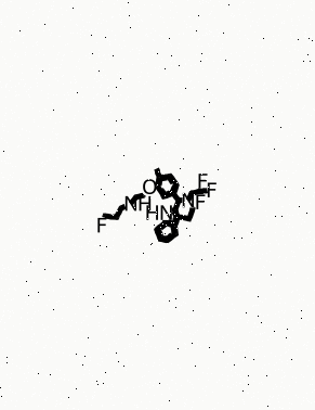 Cc1ccc(C2c3[nH]c4ccccc4c3CCN2CC(F)(F)F)cc1OCCNCCCF